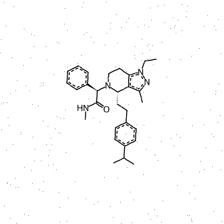 CCn1nc(C)c2c1CCN([C@@H](C(=O)NC)c1ccccc1)[C@H]2CCc1ccc(C(C)C)cc1